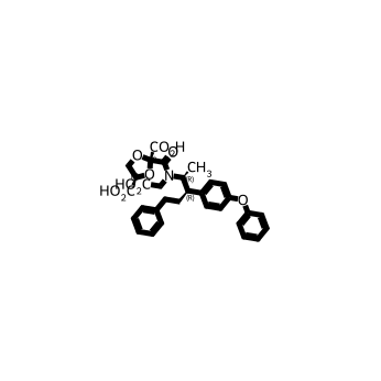 C[C@H]([C@H](CCc1ccccc1)c1ccc(Oc2ccccc2)cc1)N(CC(=O)O)C(=O)[C@@]1(C(=O)O)OC[C@H](C(=O)O)O1